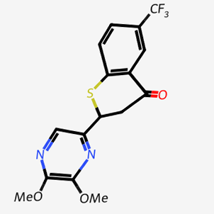 COc1ncc(C2CC(=O)c3cc(C(F)(F)F)ccc3S2)nc1OC